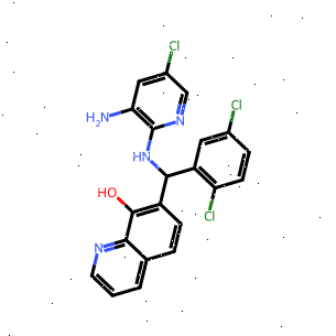 Nc1cc(Cl)cnc1NC(c1cc(Cl)ccc1Cl)c1ccc2cccnc2c1O